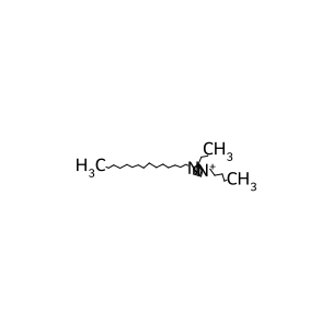 CCCCCCCCCCCCCCCn1cc[n+](CCCCC)c1CCC